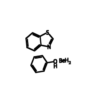 Oc1ccccc1.[BeH2].c1ccc2scnc2c1